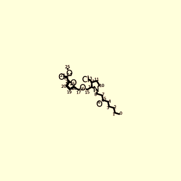 CCCCCC(=O)CCN1CCC(Cl)C1COCc1ccc(C(=O)OC)o1